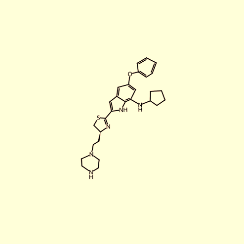 c1ccc(Oc2cc(NC3CCCC3)c3[nH]c(C4=N[C@@H](CCN5CCNCC5)CS4)cc3c2)cc1